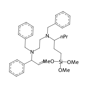 C=CC(c1ccccc1)N(CCN(Cc1ccccc1)C(CCC)CC[Si](OC)(OC)OC)Cc1ccccc1